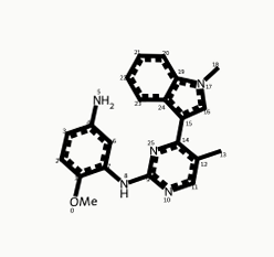 COc1ccc(N)cc1Nc1ncc(C)c(-c2cn(C)c3ccccc23)n1